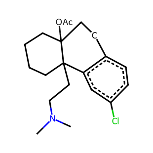 CC(=O)OC12CCCCC1(CCN(C)C)c1cc(Cl)ccc1CC2